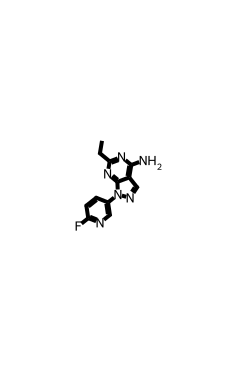 CCc1nc(N)c2cnn(-c3ccc(F)nc3)c2n1